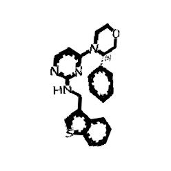 c1ccc([C@H]2COCCN2c2ccnc(NCc3csc4ccccc34)n2)cc1